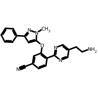 Cn1nc(-c2ccccc2)cc1Oc1cc(C#N)ccc1-c1ncc(CCN)cn1